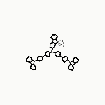 CC1(C)c2ccccc2-c2ccc(N(c3ccc(-c4ccc(-n5c6ccccc6c6ccccc65)cc4)cc3)c3ccc(-c4ccc(-n5c6ccccc6c6ccccc65)cc4)cc3)cc21